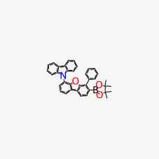 CC1(C)OB(c2ccc3c(oc4c(-n5c6ccccc6c6ccccc65)cccc43)c2-c2ccccc2)OC1(C)C